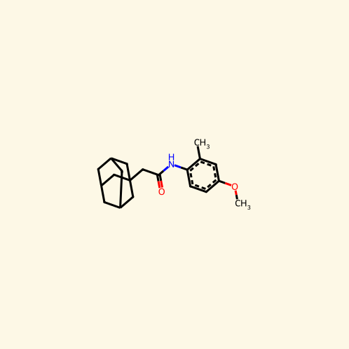 COc1ccc(NC(=O)CC23CC4CC(CC(C4)C2)C3)c(C)c1